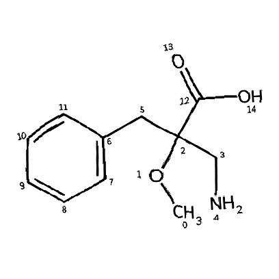 COC(CN)(Cc1ccccc1)C(=O)O